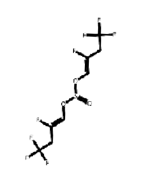 O=S(OC=C(F)CC(F)(F)F)OC=C(F)CC(F)(F)F